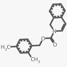 Cc1ccc(COC(=O)N2C=Cc3ccccc3C2)c(C)c1